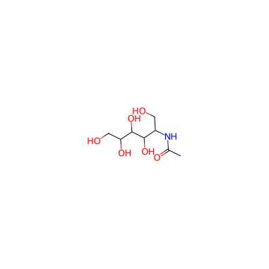 CC(=O)NC(CO)C(O)C(O)C(O)CO